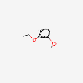 CCOc1[c]ccc(OC)c1